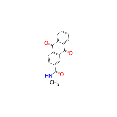 CNC(=O)c1ccc2c(c1)C(=O)c1ccccc1C2=O